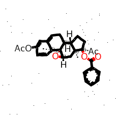 CC(=O)OC1=CC2=CC[C@H]3[C@@H]4CC[C@](OC(=O)c5ccccc5)(C(C)=O)[C@@]4(C)C[C@@H]4O[C@@]43[C@@]2(C)C=C1